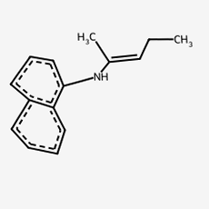 CC/C=C(\C)Nc1cccc2ccccc12